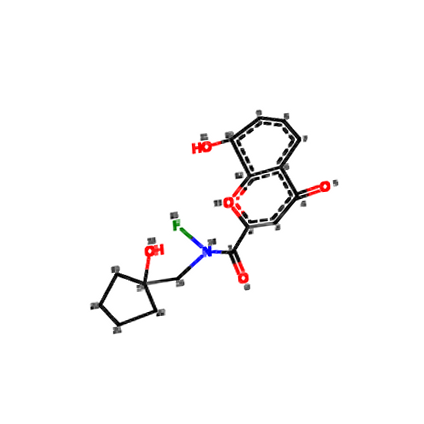 O=C(c1cc(=O)c2cccc(O)c2o1)N(F)CC1(O)CCCC1